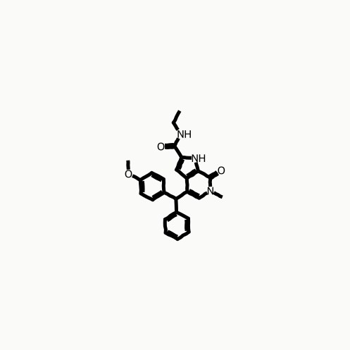 CCNC(=O)c1cc2c(C(c3ccccc3)c3ccc(OC)cc3)cn(C)c(=O)c2[nH]1